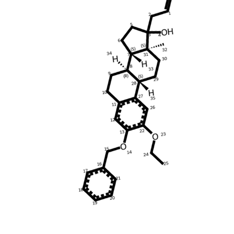 C=CCC1(O)CC[C@H]2[C@@H]3CCc4cc(OCc5ccccc5)c(OCC)cc4[C@H]3CC[C@@]21C